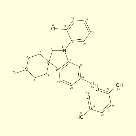 CN1CCC2(CC1)CN(c1ccccc1Cl)c1cc(Cl)ccc12.O=C(O)/C=C\C(=O)O